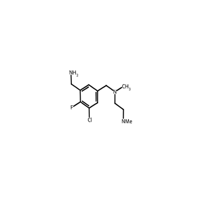 CNCCN(C)Cc1cc(Cl)c(F)c(CN)c1